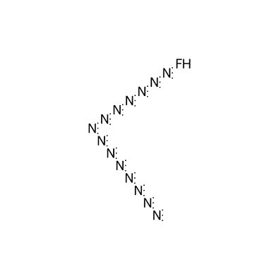 F.[N].[N].[N].[N].[N].[N].[N].[N].[N].[N].[N].[N].[N].[N]